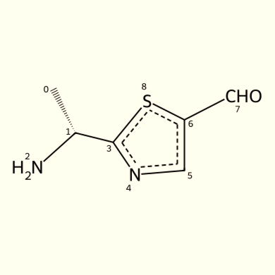 C[C@@H](N)c1ncc(C=O)s1